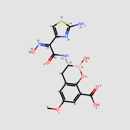 COc1cc2c(c(C(=O)O)c1)OB(O)[C@@H](NC(=O)/C(=N\O)c1csc(N)n1)C2